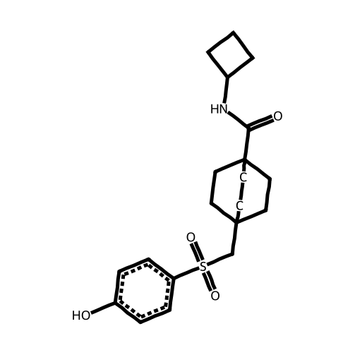 O=C(NC1CCC1)C12CCC(CS(=O)(=O)c3ccc(O)cc3)(CC1)CC2